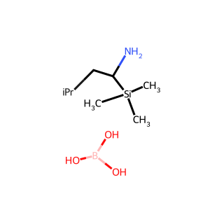 CC(C)CC(N)[Si](C)(C)C.OB(O)O